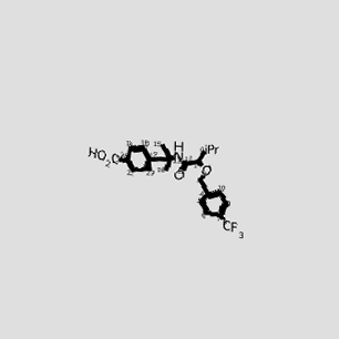 CC(C)C(OCc1ccc(C(F)(F)F)cc1)C(=O)NC(C)(C)c1ccc(C(=O)O)cc1